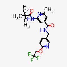 Cc1cc(C(=O)NCc2ccc(OCC(F)(F)F)nc2)cc(NC(=O)C(C)(C)C)n1